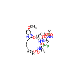 CC[C@@H]1[C@@H]2CN(C(=O)[C@H](C)NC(=O)O[C@@H]3C[C@H]3CCCCCc3nc4ccc(OC)cc4nc3O2)[C@@H]1C(=O)N[C@]1(C(=O)NS(=O)(=O)C2CC2)C[C@H]1C(F)F